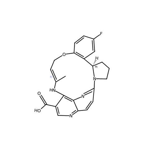 C/C1=C\COc2ccc(F)cc2[C@H]2CCCN2c2ccc3ncc(C(=O)O)c(c3n2)N1